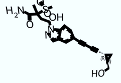 CC(CC(O)n1ncc2cc(C#CC#C[C@@H]3C[C@H]3CO)ccc21)(C(N)=O)S(C)(=O)=O